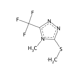 [CH2]Sc1nnc(C(F)(F)F)n1C